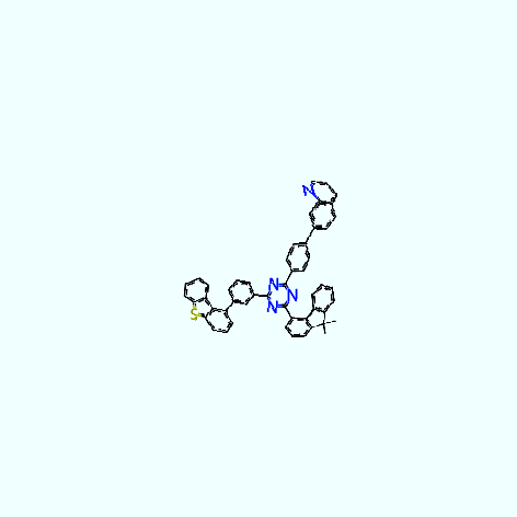 CC1(C)c2ccccc2-c2c(-c3nc(-c4ccc(-c5ccc6cccnc6c5)cc4)nc(-c4cccc(-c5cccc6sc7ccccc7c56)c4)n3)cccc21